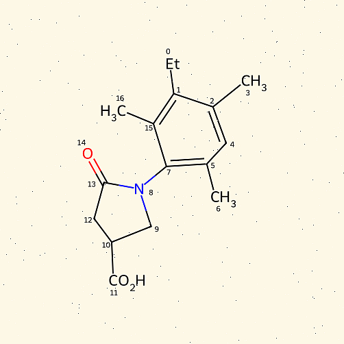 CCc1c(C)cc(C)c(N2CC(C(=O)O)CC2=O)c1C